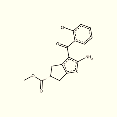 COC(=O)[C@H]1Cc2sc(N)c(C(=O)c3ccccc3Cl)c2C1